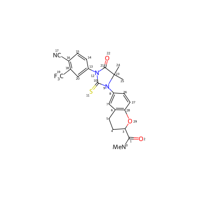 CNC(=O)C1CCc2cc(N3C(=S)N(c4ccc(C#N)c(C(F)(F)F)c4)C(=O)C3(C)C)ccc2O1